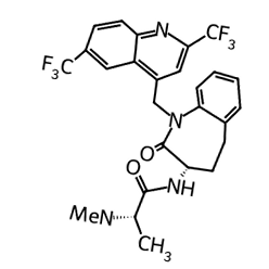 CN[C@@H](C)C(=O)N[C@H]1CCc2ccccc2N(Cc2cc(C(F)(F)F)nc3ccc(C(F)(F)F)cc23)C1=O